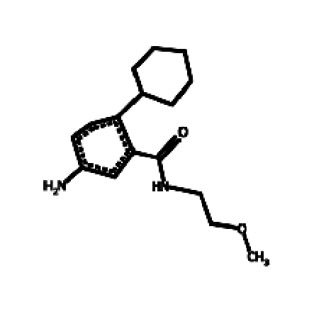 COCCNC(=O)c1cc(N)ccc1C1CCCCC1